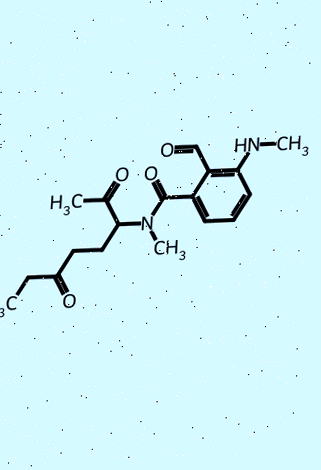 CCC(=O)CCC(C(C)=O)N(C)C(=O)c1cccc(NC)c1C=O